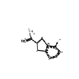 N=C(N)C1Cc2cccc(F)c2C1